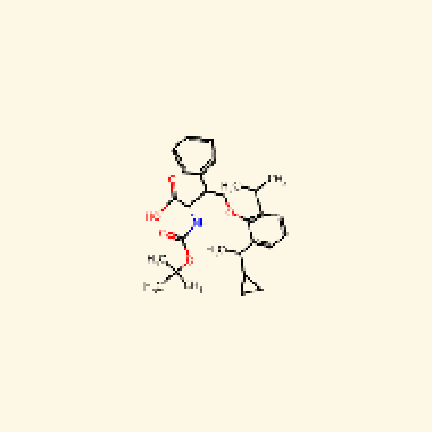 CC(C)c1cccc([C@H](C)C2CC2)c1OCC(c1ccccc1)[C@H](NC(=O)OC(C)(C)C)C(=O)O